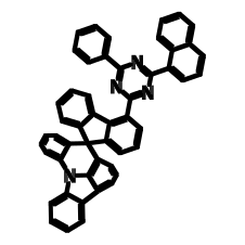 c1ccc(-c2nc(-c3cccc4c3-c3ccccc3C43c4ccccc4-n4c5ccccc5c5cccc3c54)nc(-c3cccc4ccccc34)n2)cc1